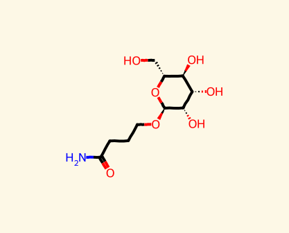 NC(=O)CCCO[C@H]1O[C@H](CO)[C@@H](O)[C@H](O)[C@@H]1O